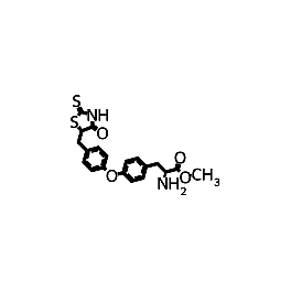 COC(=O)[C@@H](N)Cc1ccc(Oc2ccc(CC3SC(=S)NC3=O)cc2)cc1